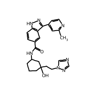 Cc1cc(-c2n[nH]c3ccc(C(=O)NC4CCCC(O)(CCn5cncn5)C4)cc23)ccn1